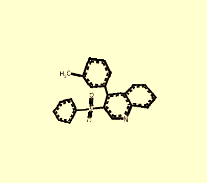 Cc1cccc(-c2c(S(=O)(=O)c3ccccc3)cnc3ccccc23)c1